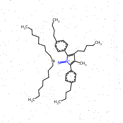 CCCCCC1=C(c2ccc(CCCC)cc2)[N+](=[N-])C(c2ccc(CCCC)cc2)=C1C.CCCCCCC[CH2][Ni][CH2]CCCCCCC